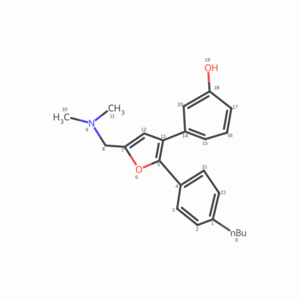 CCCCc1ccc(-c2oc(CN(C)C)cc2-c2cccc(O)c2)cc1